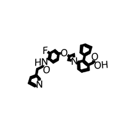 O=C(Cc1cccnc1)Nc1ccc(OC2CN(c3cccc(C(=O)O)c3-c3ccccc3)C2)cc1F